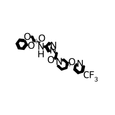 O=C(Nc1cnn(CC(=O)N2CCC[C@H](Oc3ccc(C(F)(F)F)cn3)C2)c1)[C@H]1COc2ccccc2O1